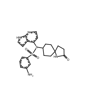 Nc1cccc(S(=O)(=O)N(c2ccnc3[nH]ccc23)C2CCC3(CCC(=O)N3)CC2)c1